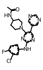 CC(=O)NC1CCN(c2nc(Nc3ccc(F)c(Cl)c3)ncc2-c2cncnc2)CC1